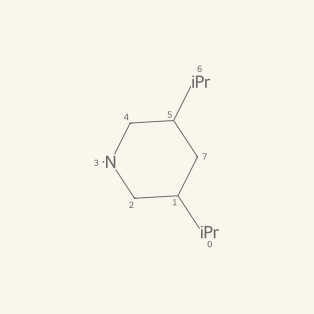 CC(C)C1C[N]CC(C(C)C)C1